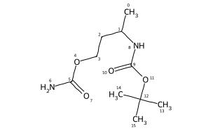 CC(CCOC(N)=O)NC(=O)OC(C)(C)C